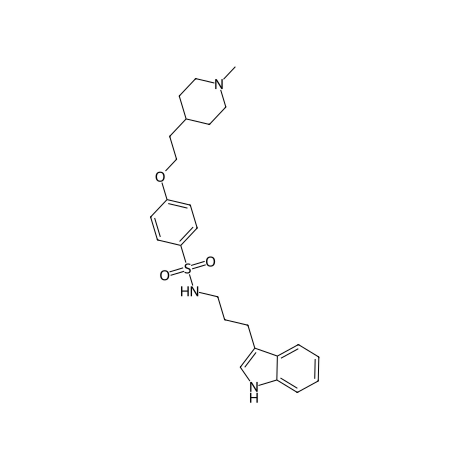 CN1CCC(CCOc2ccc(S(=O)(=O)NCCCc3c[nH]c4ccccc34)cc2)CC1